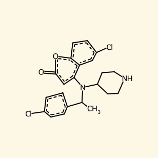 CC(c1ccc(Cl)cc1)N(c1cc(=O)oc2ccc(Cl)cc12)C1CCNCC1